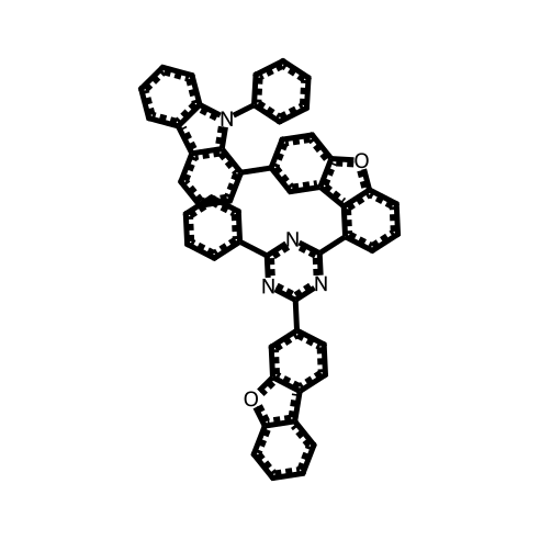 c1ccc(-c2nc(-c3ccc4c(c3)oc3ccccc34)nc(-c3cccc4oc5ccc(-c6cccc7c8ccccc8n(-c8ccccc8)c67)cc5c34)n2)cc1